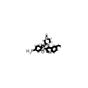 CCc1ccc2ncc(S(=O)(=O)C3(C)C=CC(P)=CC3)c(N3CCN(C)CC3)c2c1